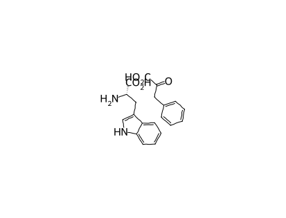 N[C@@H](Cc1c[nH]c2ccccc12)C(=O)O.O=C(O)C(=O)Cc1ccccc1